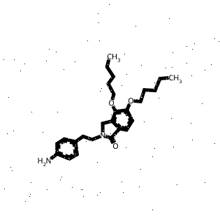 CCCCCOc1ccc2c(c1OCCCCC)CN(CCc1ccc(N)cc1)C2=O